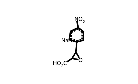 O=C(O)C1OC1c1ccc([N+](=O)[O-])cc1.[NaH]